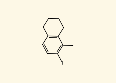 Cc1c(I)ccc2c1CCCC2